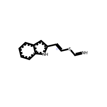 N=CS/C=C/c1cc2ccccc2[nH]1